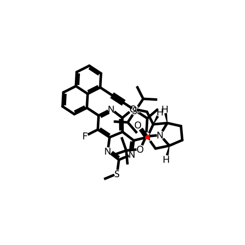 CSc1nc2c3c(nc(-c4cccc5cccc(C#C[Si](C(C)C)(C(C)C)C(C)C)c45)c(F)c3n1)OC[C@@H]1[C@@H]3CC[C@H](CN21)N3C(=O)OC(C)(C)C